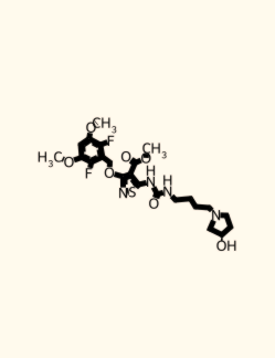 COC(=O)c1c(OCc2c(F)c(OC)cc(OC)c2F)nsc1NC(=O)NCCCCN1CC[C@H](O)C1